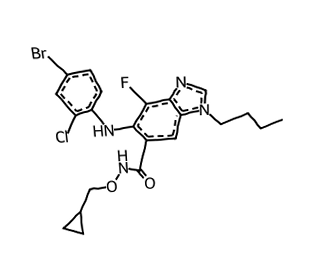 CCCCn1cnc2c(F)c(Nc3ccc(Br)cc3Cl)c(C(=O)NOCC3CC3)cc21